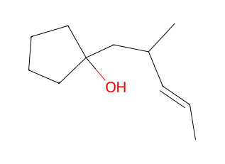 CC=CC(C)CC1(O)CCCC1